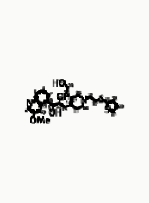 COc1cnc2cccc([C@@H](O)[C@H](O)C[C@@H]3CCN(CCSc4cccs4)C[C@H]3CCO)c2c1